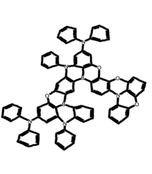 c1ccc(N(c2ccccc2)c2cc3c4c(c2)N(c2ccccc2)c2ccccc2B4c2cc4c(cc2O3)N(c2ccccc2)c2cc(N(c3ccccc3)c3ccccc3)cc3c2B4c2ccc4c(c2O3)Oc2cccc3c2N4c2ccccc2O3)cc1